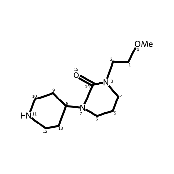 COCCN1CCCN(C2CCNCC2)C1=O